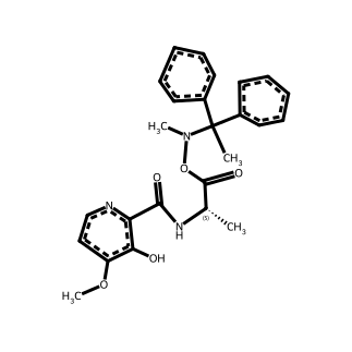 COc1ccnc(C(=O)N[C@@H](C)C(=O)ON(C)C(C)(c2ccccc2)c2ccccc2)c1O